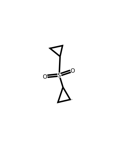 O=S(=O)(C1[CH]C1)C1CC1